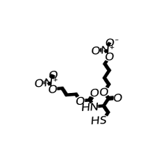 O=C(NC(CS)C(=O)OCCCCO[N+](=O)[O-])OCCCO[N+](=O)[O-]